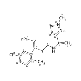 C=C(NCC/C(=C/CCC)c1cc(Cl)ccc1C)c1ccn(C)n1